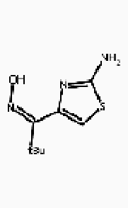 CC(C)(C)/C(=N/O)c1csc(N)n1